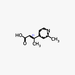 C/C(=C\C(=O)O)c1ccnc(C)c1